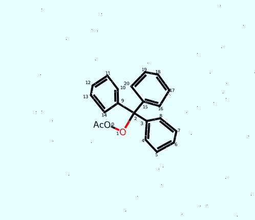 CC(=O)OOC(c1ccccc1)(c1ccccc1)c1ccccc1